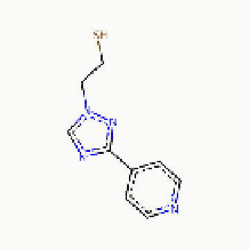 SCCn1cnc(-c2ccncc2)n1